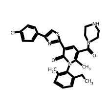 CCc1cccc(C)c1-n1c(C)c(C(=O)N2CCNCC2)cc(-c2nc(-c3ccc(Cl)cc3)cs2)c1=O